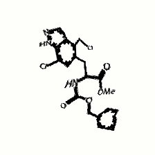 COC(=O)C(Cc1cc(Cl)c2[nH]ncc2c1CCl)NC(=O)OCc1ccccc1